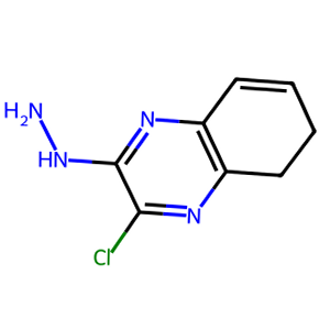 NNc1nc2c(nc1Cl)CCC=C2